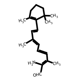 CC(C=CC1=C(C)CCCC1(C)C)=CC=CC(C)=C(N)C=O